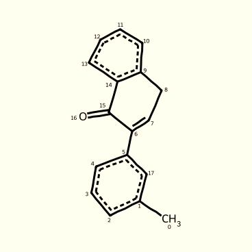 Cc1cccc(C2=CCc3ccccc3C2=O)c1